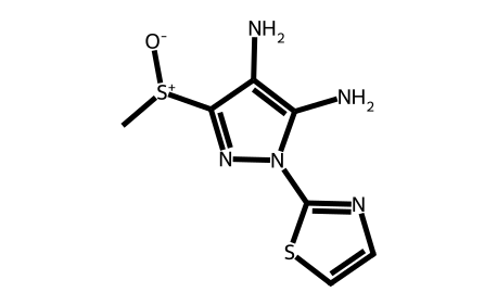 C[S+]([O-])c1nn(-c2nccs2)c(N)c1N